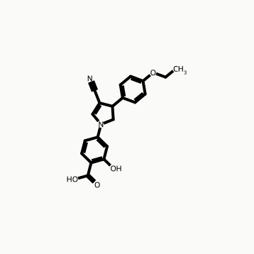 CCOc1ccc(C2CN(c3ccc(C(=O)O)c(O)c3)C=C2C#N)cc1